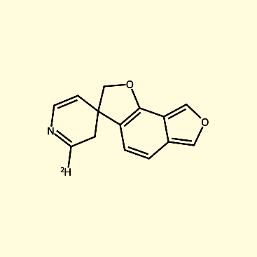 [2H]C1=NC=CC2(COc3c2ccc2cocc32)C1